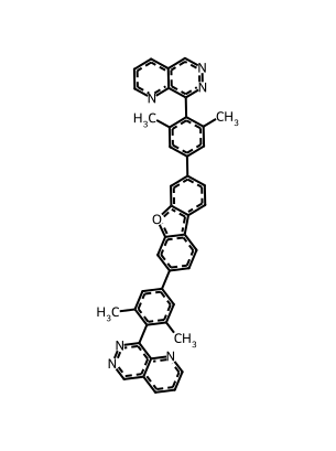 Cc1cc(-c2ccc3c(c2)oc2cc(-c4cc(C)c(-c5nncc6cccnc56)c(C)c4)ccc23)cc(C)c1-c1nncc2cccnc12